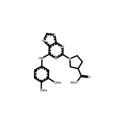 COC(=O)C1CCN(c2nc(Nc3ccc(OC)c(OC)c3)c3ncsc3n2)C1